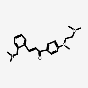 CN(C)CCN(C)c1ccc(C(=O)C=Cc2ccccc2CN(C)C)cc1